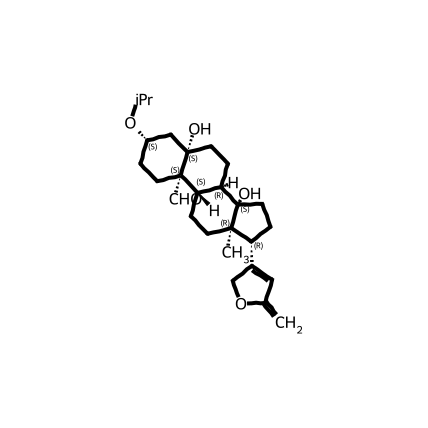 C=C1C=C([C@H]2CC[C@]3(O)[C@@H]4CC[C@]5(O)C[C@@H](OC(C)C)CC[C@]5(C=O)[C@H]4CC[C@]23C)CO1